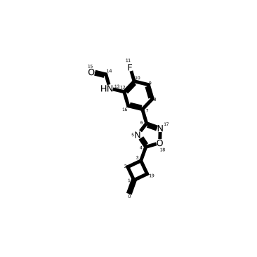 C=C1CC(c2nc(-c3ccc(F)c(NC=O)c3)no2)C1